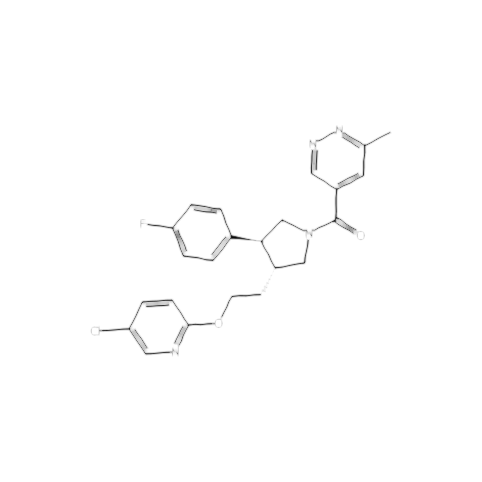 Cc1cc(C(=O)N2C[C@H](CCOc3ccc(Cl)cn3)[C@@H](c3ccc(F)cc3)C2)cnn1